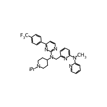 CC(C)N1CCC(N(Cc2cccc(N(C)c3ccccn3)n2)c2nccc(-c3ccc(C(F)(F)F)cc3)n2)CC1